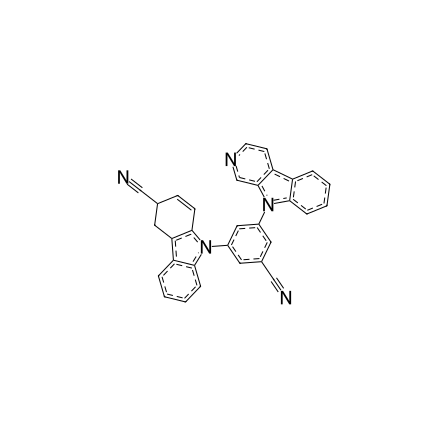 N#Cc1cc(-n2c3c(c4ccccc42)CC(C#N)C=C3)cc(-n2c3ccccc3c3ccncc32)c1